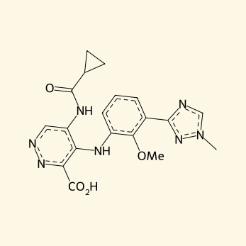 COc1c(Nc2c(NC(=O)C3CC3)cnnc2C(=O)O)cccc1-c1ncn(C)n1